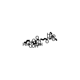 C=C1C=CN([C@@H]2O[C@H](C(=O)NCCCC(=O)NCP(=O)(OCC)OCC)[C@@H](O)[C@H]2O)C(=O)N1